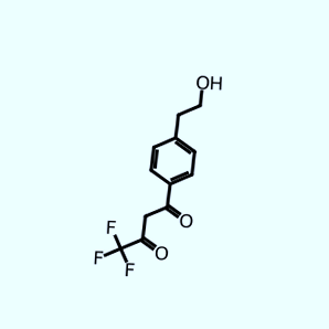 O=C(CC(=O)C(F)(F)F)c1ccc(CCO)cc1